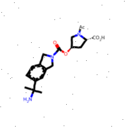 CC(=O)N1C[C@H](OC(=O)N2Cc3ccc(C(C)(C)N)cc3C2)C[C@H]1C(=O)O